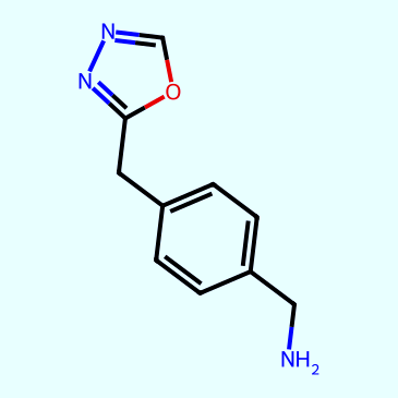 NCc1ccc(Cc2nnco2)cc1